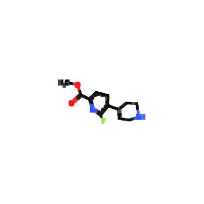 COC(=O)c1ccc(C2=CCNCC2)c(F)n1